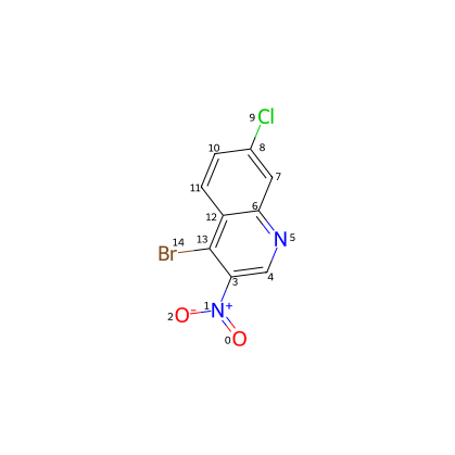 O=[N+]([O-])c1cnc2cc(Cl)ccc2c1Br